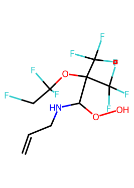 C=CCNC(OO)C(OC(F)(F)CF)(C(F)(F)F)C(F)(F)F